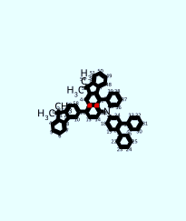 CC1(C)c2ccccc2-c2cc(-c3ccc(N(c4ccc(-c5ccccc5)c(-c5ccccc5)c4)c4ccccc4-c4cccc5c4-c4ccccc4C5(C)C)cc3)ccc21